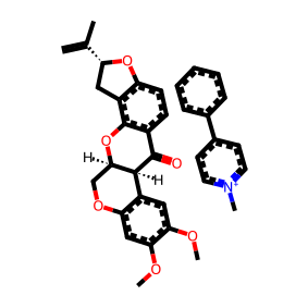 C=C(C)[C@H]1Cc2c(ccc3c2O[C@@H]2COc4cc(OC)c(OC)cc4[C@@H]2C3=O)O1.C[n+]1ccc(-c2ccccc2)cc1